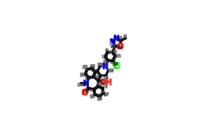 Cc1nnc(-c2ccc(N3CCC(C4(O)c5ccccc5C(=O)N(C)c5ccccc54)CC3)c(Cl)c2)o1